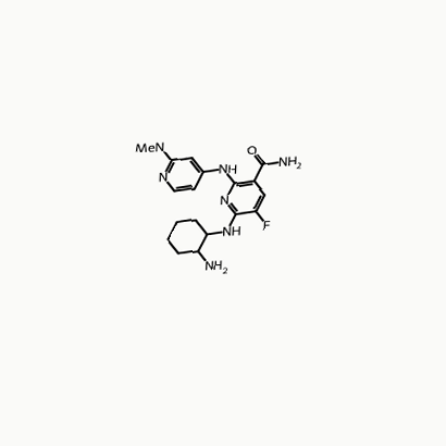 CNc1cc(Nc2nc(NC3CCCCC3N)c(F)cc2C(N)=O)ccn1